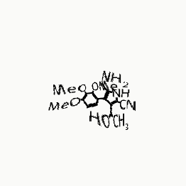 COc1ccc(-c2c(CN)[nH]c(C#N)c2C(C)O)c(OC)c1OC